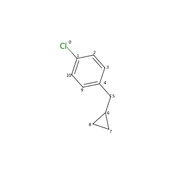 Clc1ccc([CH]C2CC2)cc1